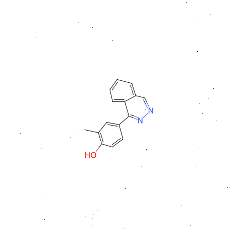 Cc1cc(-c2nncc3ccccc23)ccc1O